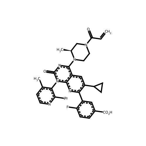 C=CC(=O)N1CCN(c2nc(=O)n(-c3c(C)ccnc3C(C)C)c3nc(-c4cc(C(=O)O)ccc4F)c(C4CC4)cc23)[C@@H](C)C1